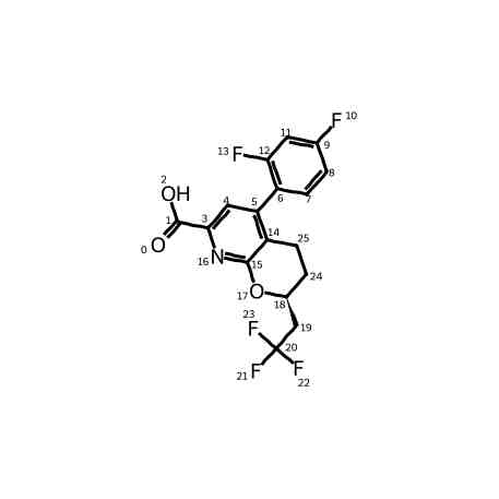 O=C(O)c1cc(-c2ccc(F)cc2F)c2c(n1)O[C@H](CC(F)(F)F)CC2